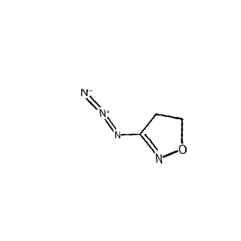 [N-]=[N+]=NC1=NOCC1